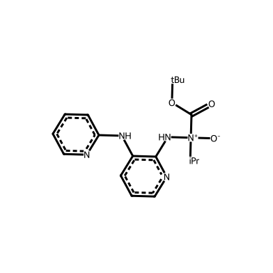 CC(C)[N+]([O-])(Nc1ncccc1Nc1ccccn1)C(=O)OC(C)(C)C